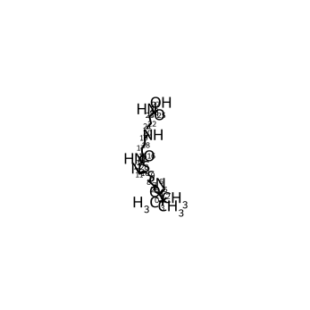 CC(C)(C)c1cnc(CSc2cnc(NC(=O)CCCNCCCC(=O)NO)s2)o1